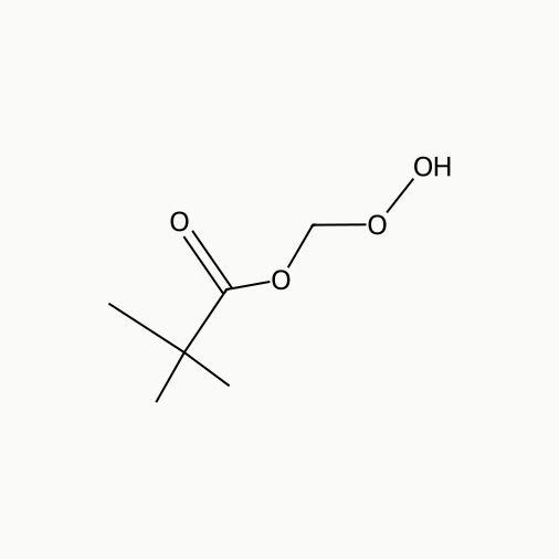 CC(C)(C)C(=O)OCOO